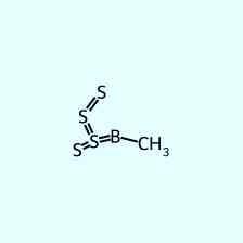 CB=S(=S)=S=S